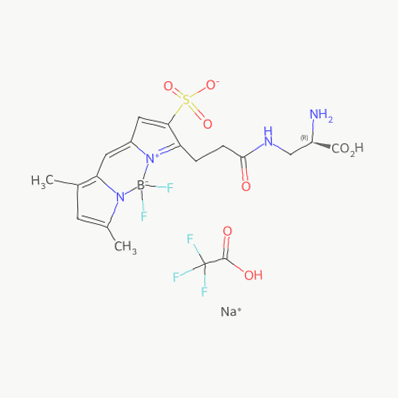 Cc1cc(C)n2c1C=C1C=C(S(=O)(=O)[O-])C(CCC(=O)NC[C@@H](N)C(=O)O)=[N+]1[B-]2(F)F.O=C(O)C(F)(F)F.[Na+]